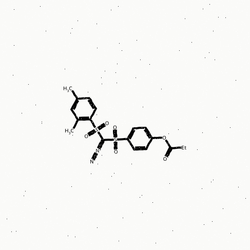 CCC(=O)Oc1ccc(S(=O)(=O)C(=[N+]=[N-])S(=O)(=O)c2ccc(C)cc2C)cc1